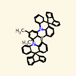 CC1=CC2(C)C3B(c4cccc5c4N(C4=CC=CCC4C54c5ccccc5-c5ccccc54)C3=C1)c1cccc3c1N2c1ccccc1C31c2ccccc2-c2ccccc21